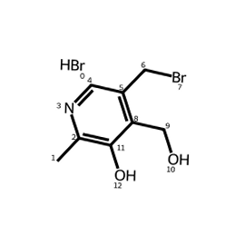 Br.Cc1ncc(CBr)c(CO)c1O